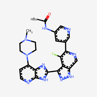 CCCCC(=O)Nc1cncc(-c2ncc3[nH]nc(-c4nc5c(N6CCN(C)CC6)ccnc5[nH]4)c3c2F)c1